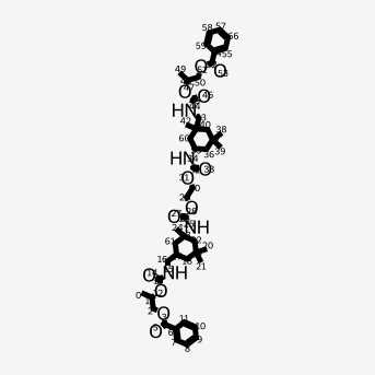 CC(COC(=O)c1ccccc1)OC(=O)NCC1CC(C)(C)CC(C)(NC(=O)OCCOC(=O)NC2CC(C)(C)CC(C)(CNC(=O)OC(C)COC(=O)c3ccccc3)C2)C1